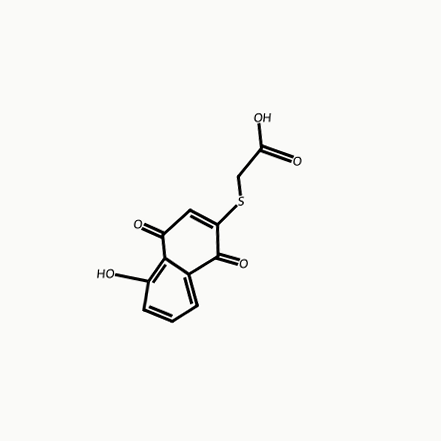 O=C(O)CSC1=CC(=O)c2c(O)cccc2C1=O